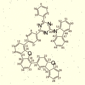 c1ccc(-c2nc(-c3ccc(-c4cccc5c4oc4c(-c6ccc7oc8ccccc8c7c6)cccc45)cc3)nc(-n3c4ccccc4c4ccccc43)n2)cc1